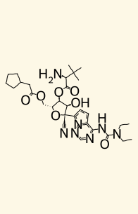 CCN(CC)C(=O)Nc1ncnn2c([C@]3(C#N)O[C@H](COC(=O)CC4CCCC4)[C@@H](OC(=O)[C@@H](N)C(C)(C)C)[C@H]3O)ccc12